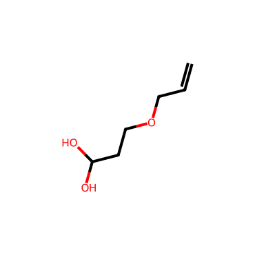 C=CCOCCC(O)O